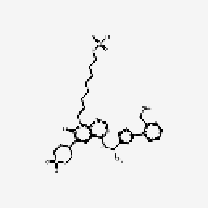 CCS(=O)(=O)OCCCCCCCCn1c(=O)c(C2CCS(=O)(=O)CC2)cc2c(N[C@H](C)c3ccc(-c4ccccc4CNC)s3)ncnc21